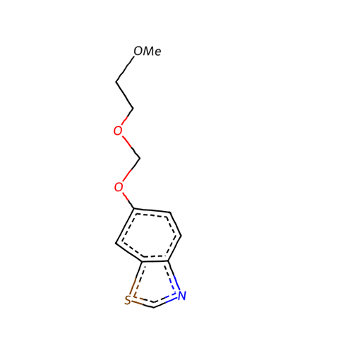 COCCOCOc1ccc2ncsc2c1